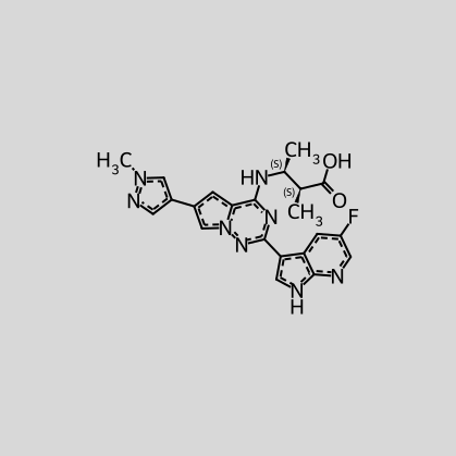 C[C@H](Nc1nc(-c2c[nH]c3ncc(F)cc23)nn2cc(-c3cnn(C)c3)cc12)[C@H](C)C(=O)O